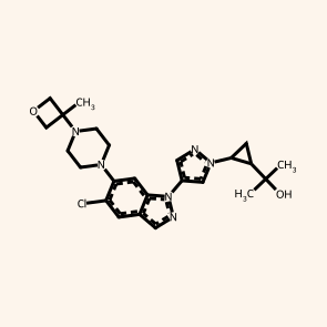 CC(C)(O)C1CC1n1cc(-n2ncc3cc(Cl)c(N4CCN(C5(C)COC5)CC4)cc32)cn1